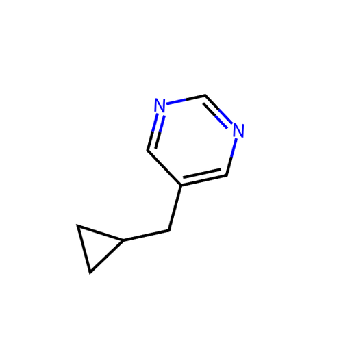 c1ncc(CC2CC2)cn1